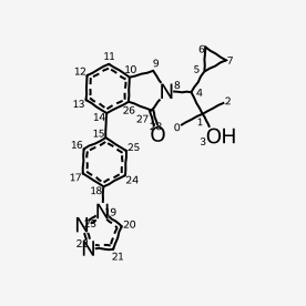 CC(C)(O)C(C1CC1)N1Cc2cccc(-c3ccc(-n4ccnn4)cc3)c2C1=O